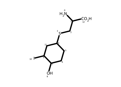 NC(CSC1CCC(O)C(I)C1)C(=O)O